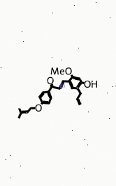 C=CCc1cc(/C=C/C(=O)c2ccc(OCC=C(C)C)cc2)c(OC)cc1O